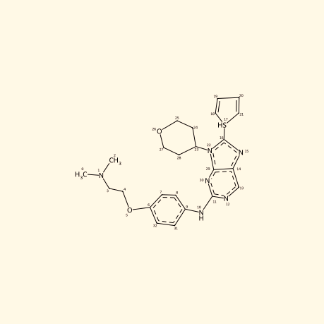 CN(C)CCOc1ccc(Nc2ncc3nc([SH]4C=CC=C4)n(C4CCOCC4)c3n2)cc1